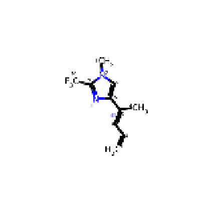 C=C/C=C(\C)c1cn(C)c(C(F)(F)F)n1